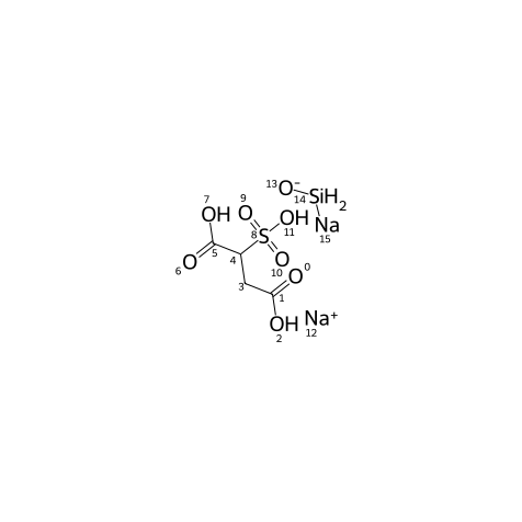 O=C(O)CC(C(=O)O)S(=O)(=O)O.[Na+].[O-][SiH2][Na]